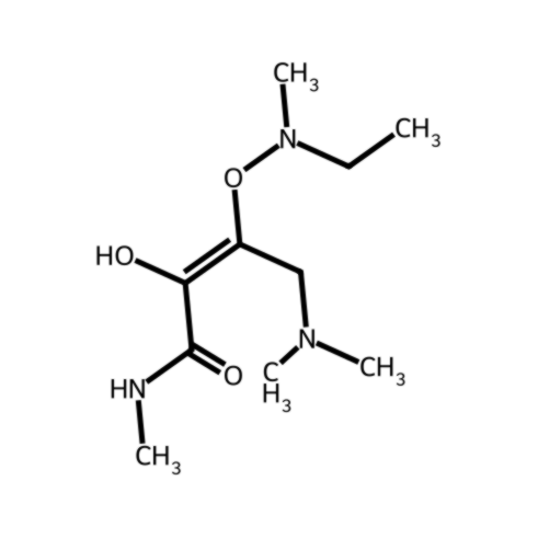 CCN(C)O/C(CN(C)C)=C(\O)C(=O)NC